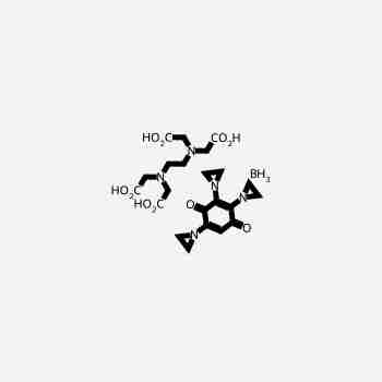 B.O=C(O)CN(CCN(CC(=O)O)CC(=O)O)CC(=O)O.O=C1C=C(N2CC2)C(=O)C(N2CC2)=C1N1CC1